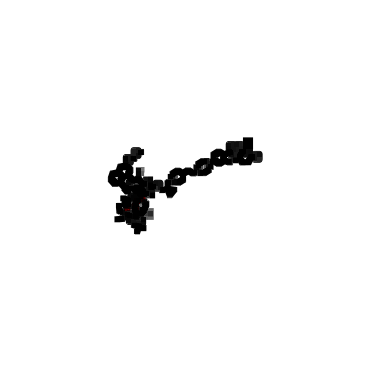 CC[Si](CC)(CC)O[C@H]1C[C@H]2CN(c3nc(OCC4(CN5CCC(CCN6CCN(c7ccc8c(c7)CN([C@H]7CCC(=O)NC7=O)C8=O)CC6)CC5)CC4)nc4c(F)c(-c5cc(OCOC)cc6cccc(C#C[Si](C(C)C)(C(C)C)C(C)C)c56)ncc34)C[C@@H]1N2C(=O)OC(C)(C)C